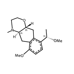 COc1ccc([C@H](C)OC)c2c1C[C@@H]1[C@@H](C2)OCCN1C